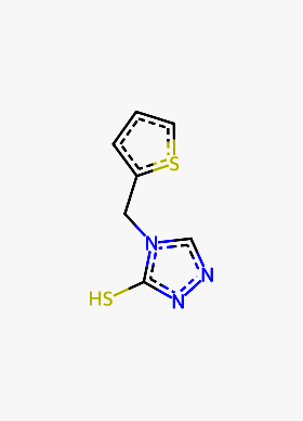 Sc1nncn1Cc1cccs1